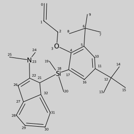 C=CCOc1c(C(C)(C)C)cc(C(C)(C)C)cc1[Si](C)(C)C1C(N(C)C)=Cc2ccccc21